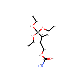 CCO[Si](OCC)(OCC)C(C)CCOC(N)=O